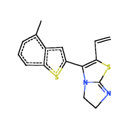 C=CC1=C(c2cc3c(C)cccc3s2)N2CCN=C2S1